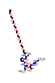 C#CCOCCOCCOCCOCCOCCOCCOCCOCCC(=O)N[C@@H](CC(C)C)C(=O)N1CCC[C@H]1C(=O)N[C@@H](CCC(=O)O)C(=O)N[C@H](C(=O)NCC(=O)NCC(=O)O)[C@@H](C)O